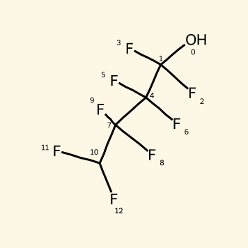 OC(F)(F)C(F)(F)C(F)(F)C(F)F